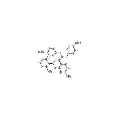 COc1ccc(CN(Cc2ccc(OC)cc2)c2cc(-c3c(C)cccc3F)cc3nc(N)ncc23)cc1